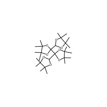 CC1(C)OC(C2(C3(C4OC(C)(C)C(C)(C)O4)OC(C)(C)C(C)(C)O3)OC(C)(C)C(C)(C)O2)OC1(C)C